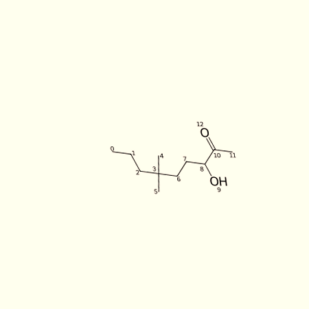 CCCC(C)(C)CCC(O)C(C)=O